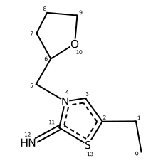 CCc1cn(CC2CCCO2)c(=N)s1